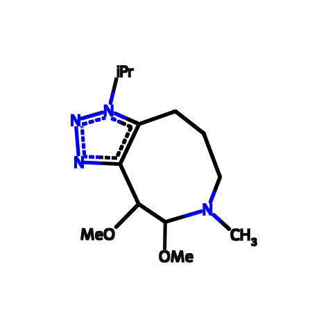 COC1c2nnn(C(C)C)c2CCCN(C)C1OC